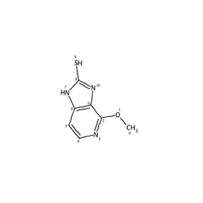 COc1nccc2[nH]c(S)nc12